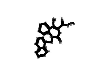 COC(=O)C1=C(O)c2ccccc2N(Cc2cccc3cccnc23)C(=O)C1